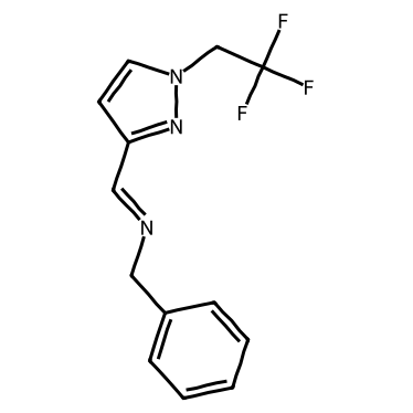 FC(F)(F)Cn1ccc(C=NCc2ccccc2)n1